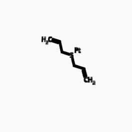 C=CCSCC=C.[Pt]